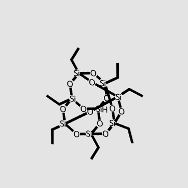 CC[Si]12O[SiH]3O[Si]4(CC)O[Si](CC)(O1)O[Si]1(CC)O[Si](CC)(O2)O[Si](CC)(O3)O[Si](CC)(O4)O1